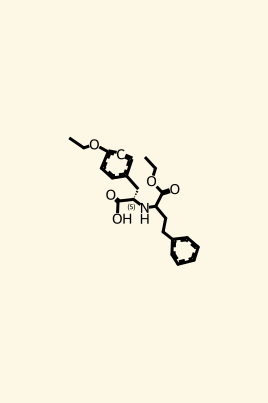 CCOC(=O)C(CCc1ccccc1)N[C@@H](Cc1ccc(OCC)cc1)C(=O)O